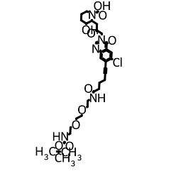 CC(C)(C)OC(=O)NCCOCCOCCNC(=O)CCCC#Cc1cc2ncn(CC(=O)CC3C(O)CCCN3C(=O)O)c(=O)c2cc1Cl